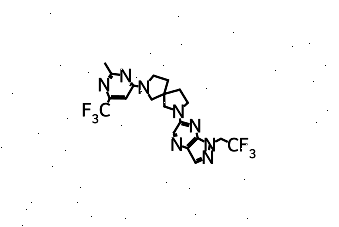 Cc1nc(N2CCC3(CCN(c4cnc5cnn(CC(F)(F)F)c5n4)C3)C2)cc(C(F)(F)F)n1